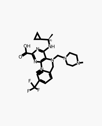 C=Nc1nc(C(=O)O)nc(N[C@H](C)C2CC2)c1N(Cc1ccc(C(F)(F)F)cc1)CN1CCN(C)CC1